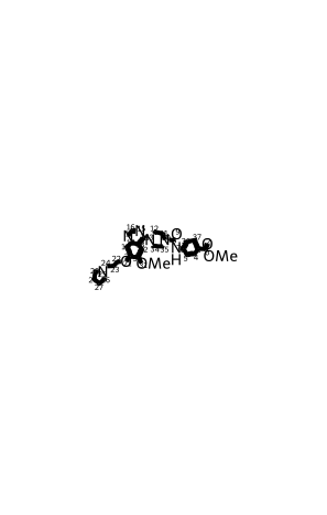 COC(=O)c1ccc(NC(=O)N2CCN(c3ncnc4cc(OCCCN5CCCC5)c(OC)cc34)CC2)cc1